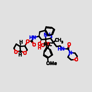 COc1ccc(S(=O)(=O)C(N)(CC(C)(C)CCNC(=O)N2CCOCC2)[C@H](O)[C@H](Cc2ccccc2)NC(=O)O[C@H]2CO[C@H]3OCC[C@H]32)cc1